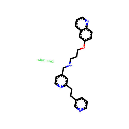 Cl.Cl.Cl.Cl.c1cncc(CCc2cc(CNCCCOc3ccc4ncccc4c3)ccn2)c1